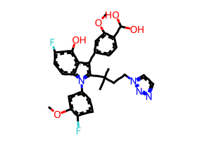 COc1cc(-n2c(C(C)(C)CCn3ccnn3)c(-c3ccc(C(O)O)c(OC)c3)c3c(O)c(F)ccc32)ccc1F